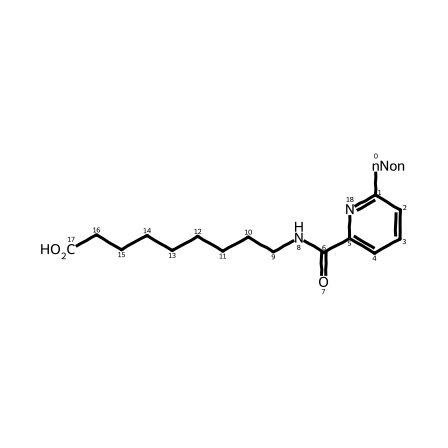 CCCCCCCCCc1cccc(C(=O)NCCCCCCCCC(=O)O)n1